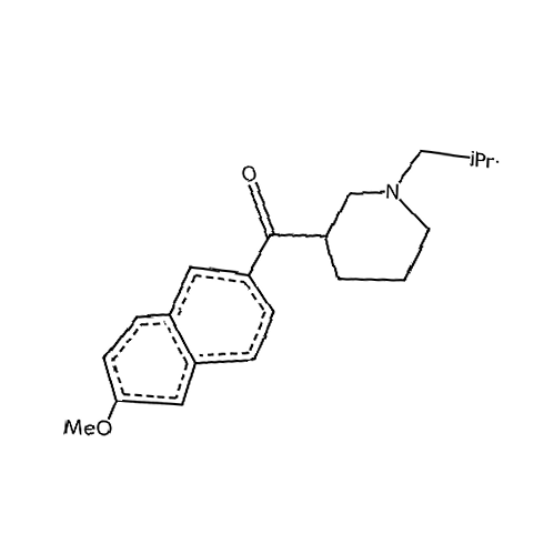 COc1ccc2cc(C(=O)C3CCCN(C[C](C)C)C3)ccc2c1